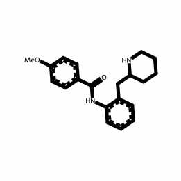 COc1ccc(C(=O)Nc2ccccc2CC2CCCCN2)cc1